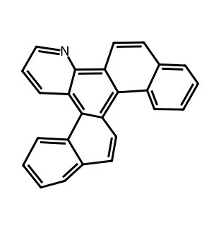 c1ccc2c(c1)ccc1c2c2cccnc2c2ccc3ccccc3c21